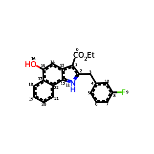 CCOC(=O)c1c(Cc2cccc(F)c2)[nH]c2c1cc(O)c1ccccc12